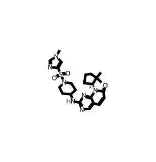 Cn1cnc(S(=O)(=O)N2CCC(Nc3ncc4ccc(=O)n([C@@H]5CCCC5(C)C)c4n3)CC2)c1